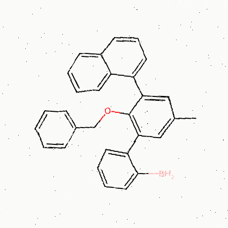 Bc1ccccc1-c1cc(C)cc(-c2cccc3ccccc23)c1OCc1ccccc1